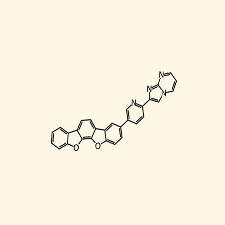 c1ccc2c(c1)oc1c2ccc2c3cc(-c4ccc(-c5cn6cccnc6n5)nc4)ccc3oc21